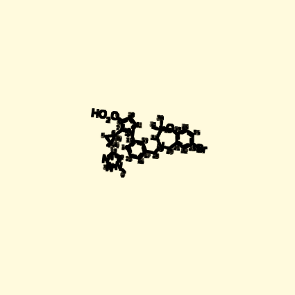 Cn1cc([C@@H]2C[C@H]2c2c(C(=O)O)ccn2-c2cccc(CN3Cc4cc(Br)ccc4OC(C)(C)C3)c2)nn1